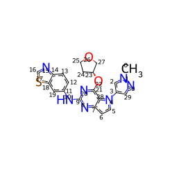 Cn1cc(-n2ccc3nc(Nc4ccc5ncsc5c4)nc(O[C@H]4CCOC4)c32)cn1